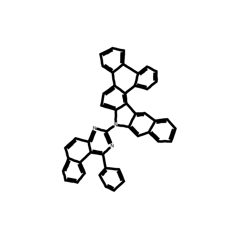 c1ccc(-c2nc(-n3c4cc5ccccc5cc4c4c5c6ccccc6c6ccccc6c5ccc43)nc3ccc4ccccc4c23)cc1